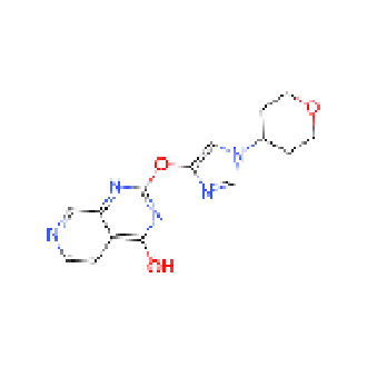 Oc1nc(Oc2cn(C3CCOCC3)cn2)nc2cnccc12